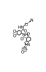 COc1ccc2nc(N3C4COCC3C4)sc2c1C(=O)Nc1cc2c(cc1C(=O)NC13CC(C#N)(C1)C3)OCO2